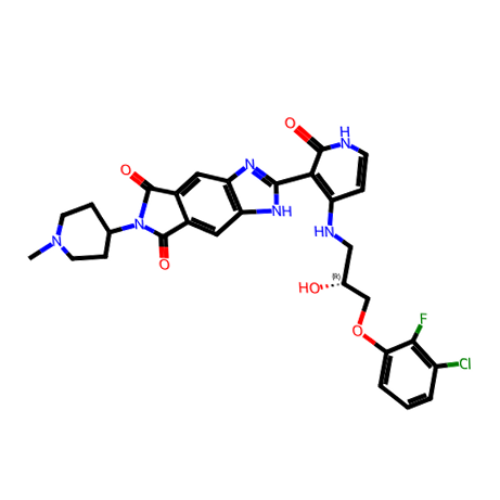 CN1CCC(N2C(=O)c3cc4nc(-c5c(NC[C@@H](O)COc6cccc(Cl)c6F)cc[nH]c5=O)[nH]c4cc3C2=O)CC1